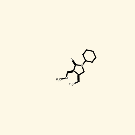 C/C=C1/CN(C2CCCCC2)C(=O)/C1=C/NC